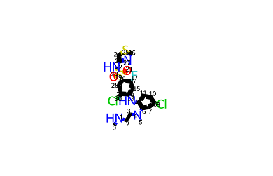 CNCCN(C)c1cc(Cl)ccc1Nc1cc(F)c(S(=O)(=O)Nc2cscn2)cc1Cl